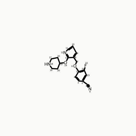 N#Cc1ccc(OCc2cccnc2OC2CCNCC2)c(F)c1